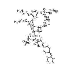 Cc1nc(-c2ccc(OC3CCCCC3)cc2)nc(C)c1C(=O)NC(CCNS(C)(=O)=O)C(=O)N(C)[C@@H]1C(=O)N[C@@H](C)C(=O)N[C@H](C(=O)NCC#N)Cc2ccc(OCCN)c(c2)-c2cc1ccc2OCCN